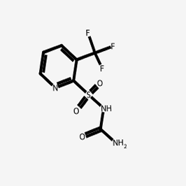 NC(=O)NS(=O)(=O)c1ncccc1C(F)(F)F